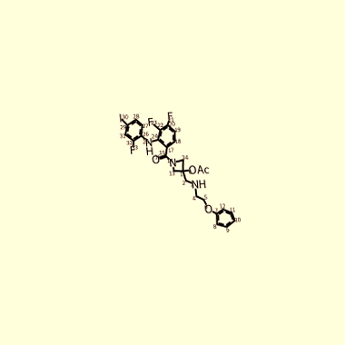 CC(=O)OC1(CNCCOc2ccccc2)CN(C(=O)c2ccc(F)c(F)c2Nc2ccc(I)cc2F)C1